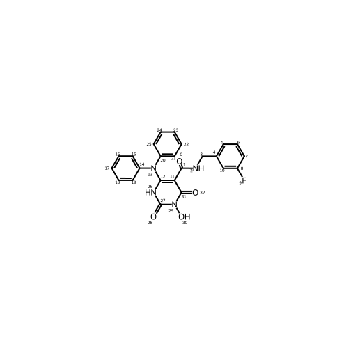 O=C(NCc1cccc(F)c1)c1c(N(c2ccccc2)c2ccccc2)[nH]c(=O)n(O)c1=O